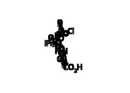 CC(C)C1=C2[C@H]3CC[C@@H]4[C@@]5(C)CC[C@H](OC(=O)[C@H]6C[C@@H](C(=O)O)C6(C)C)C(C)(C)[C@@H]5CC[C@@]4(C)[C@]3(C)CC[C@@]2(c2nnc(-c3ccc(Cl)cc3OCCN3CCCC3)o2)CC1=O